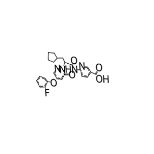 O=C(O)c1ccc(NC(=O)C(CC2CCCC2)n2ncc(Oc3ccccc3F)cc2=O)nc1